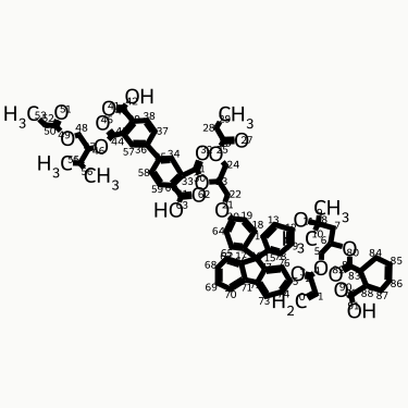 C=CC(=O)OCC(CC(C)(C)Oc1ccc(C2(c3ccc(OCC(COC(=O)CC)OC(=O)c4cc(-c5ccc(C(=O)O)c(C(=O)OC(COC(=O)CC)C(C)C)c5)ccc4C(=O)O)cc3)c3ccccc3-c3ccccc32)cc1)OC(=O)C1CC=CCC1C(=O)O